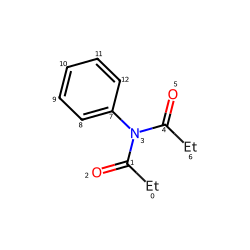 CCC(=O)N(C(=O)CC)c1ccccc1